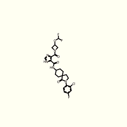 O=C(NC1CCC2(CC1)CCN(c1ccc(F)cc1Cl)C2=O)c1[nH]cnc1C(=O)N1CC(OC(F)F)C1